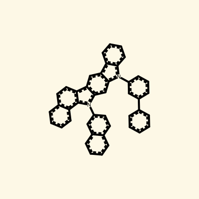 c1ccc(-c2cccc(-n3c4ccccc4c4cc5c6ccc7ccccc7c6n(-c6ccc7ccccc7c6)c5cc43)c2)cc1